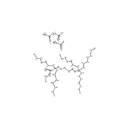 CC(=O)O.CC(=O)O.CC(=O)O.CCCCCCCC(CCCCCCC)(CCCCCCC)CCCCCCC(CCCCCCC)(CCCCCCC)C(=O)OCC